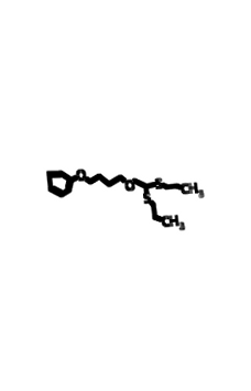 CCCSC(COCCCCOc1ccccc1)SCCC